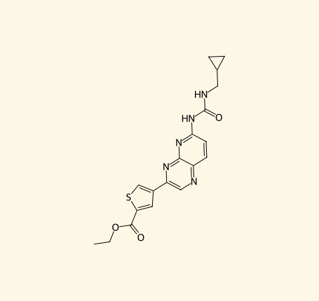 CCOC(=O)c1cc(-c2cnc3ccc(NC(=O)NCC4CC4)nc3n2)cs1